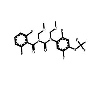 COCN(C(=O)c1c(F)cccc1F)C(=O)N(COC)c1cc(F)c(SC(F)(F)F)cc1F